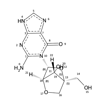 Nc1nc2[nH]cnc2c(=O)n1[C@@H]1O[C@@]2(CO)CO[C@@H]1[C@@H]2O